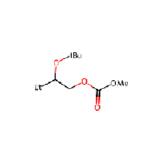 CCC(COC(=O)OC)OC(C)(C)C